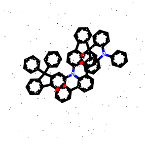 c1ccc(-c2cccc(-c3ccccc3)c2N(c2ccc3c(c2)C(c2ccccc2)(c2ccccc2)c2ccccc2-3)c2ccc3c(c2)C2(c4ccccc4-3)c3ccccc3N(c3ccccc3)c3ccccc32)cc1